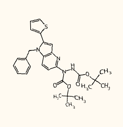 CC(C)(C)OC(=O)NN(C(=O)OC(C)(C)C)c1ccc2c(cc(-c3cccs3)n2Cc2ccccc2)n1